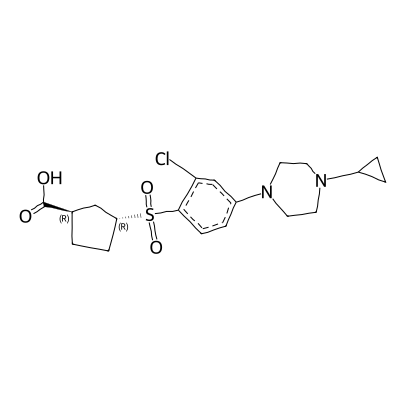 O=C(O)[C@@H]1CC[C@@H](S(=O)(=O)c2ccc(N3CCN(C4CC4)CC3)cc2Cl)C1